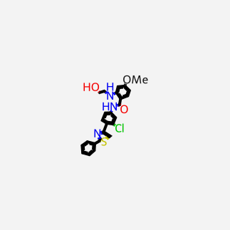 COc1ccc(C(=O)Nc2ccc(-c3csc(-c4ccccc4)n3)c(Cl)c2)c(NCCO)c1